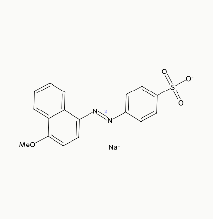 COc1ccc(/N=N/c2ccc(S(=O)(=O)[O-])cc2)c2ccccc12.[Na+]